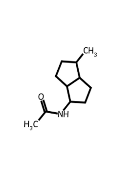 CC(=O)NC1CCC2C(C)CCC12